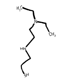 CCN(CC)CCNCCS